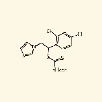 CCCCCCCC(=S)SC(Cn1ccnc1)c1ccc(Cl)cc1Cl